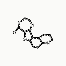 O=c1nccnc2c1sc1ccc3ncccc3c12